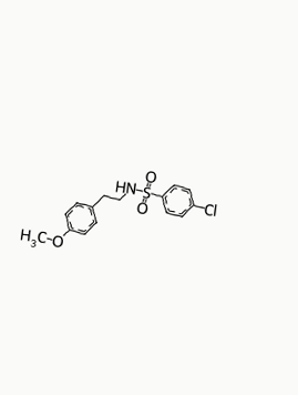 COc1ccc(CCNS(=O)(=O)c2ccc(Cl)cc2)cc1